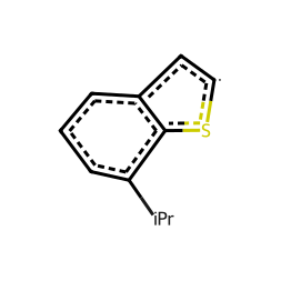 CC(C)c1cccc2c[c]sc12